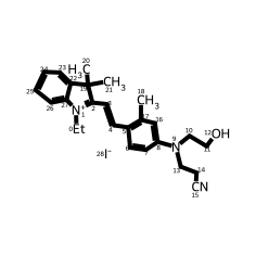 CC[N+]1=C(/C=C/c2ccc(N(CCO)CCC#N)cc2C)C(C)(C)c2ccccc21.[I-]